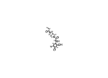 C=CC(=O)N1CC2CN(C(=O)CNc3cc(I)c(Cl)cc3O)CC2C1